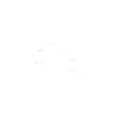 COc1cnc(C(C)CCC(C)c2cncc(N)n2)cn1